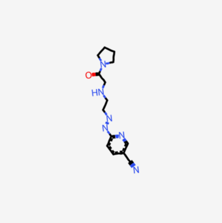 N#Cc1ccc(/N=N/CCNCC(=O)N2CCCC2)nc1